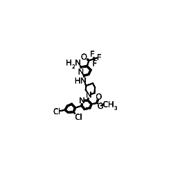 COC(=O)c1ccc(-c2ccc(Cl)cc2Cl)nc1N1CCCC(Nc2ccc(C(=O)C(F)(F)F)c(N)n2)C1